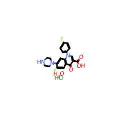 Cl.O.O=C(O)c1cn(-c2ccc(F)cc2)c2cc(N3CCNCC3)c(F)cc2c1=O